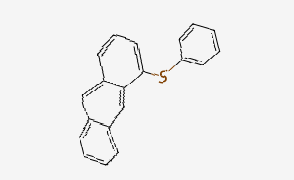 c1ccc(Sc2cccc3cc4ccccc4cc23)cc1